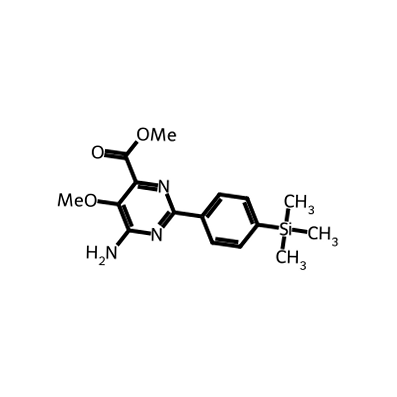 COC(=O)c1nc(-c2ccc([Si](C)(C)C)cc2)nc(N)c1OC